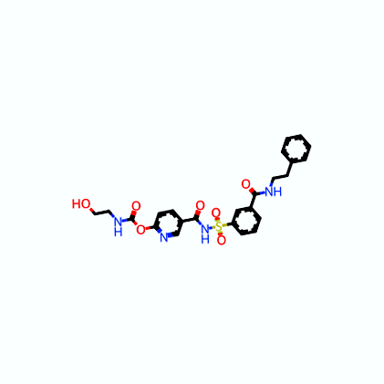 O=C(NCCO)Oc1ccc(C(=O)NS(=O)(=O)c2cccc(C(=O)NCCc3ccccc3)c2)cn1